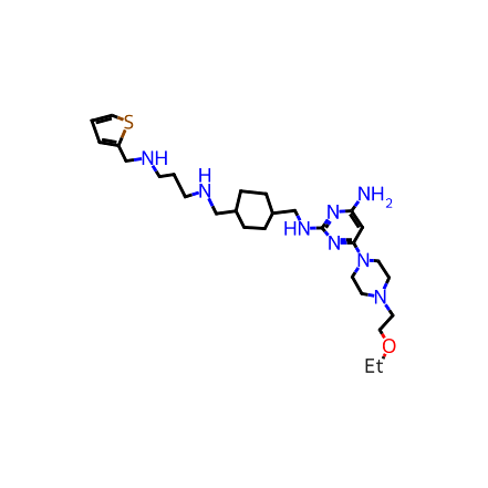 CCOCCN1CCN(c2cc(N)nc(NCC3CCC(CNCCCNCc4cccs4)CC3)n2)CC1